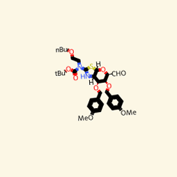 CCCCOCCN(C(=O)OC(C)(C)C)C1N[C@@H]2[C@@H](OCc3ccc(OC)cc3)[C@H](OCc3ccc(OC)cc3)[C@@H](C=O)O[C@@H]2S1